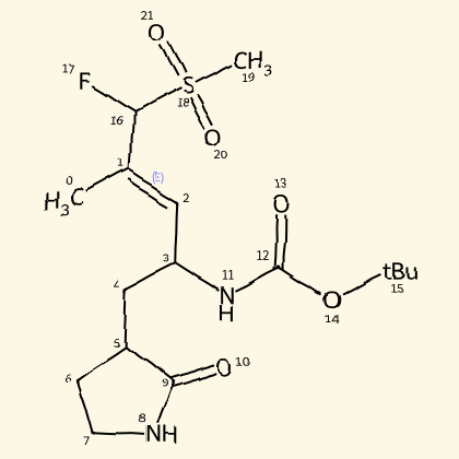 C/C(=C\C(CC1CCNC1=O)NC(=O)OC(C)(C)C)C(F)S(C)(=O)=O